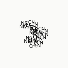 N#[C][Mn-]([C]#N)([C]#N)([C]#N)([C]#N)[C]#N.N#[C][Mn-]([C]#N)([C]#N)([C]#N)([C]#N)[C]#N.N#[C][Mn-]([C]#N)([C]#N)([C]#N)([C]#N)[C]#N.[Cr+3]